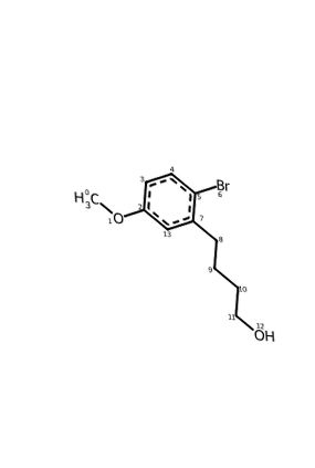 COc1ccc(Br)c(CCCCO)c1